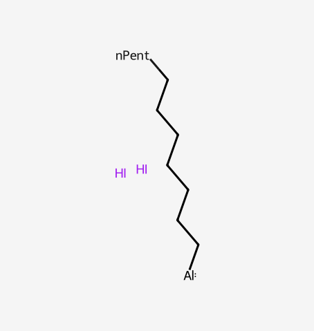 CCCCCCCCCCC[CH2][Al].I.I